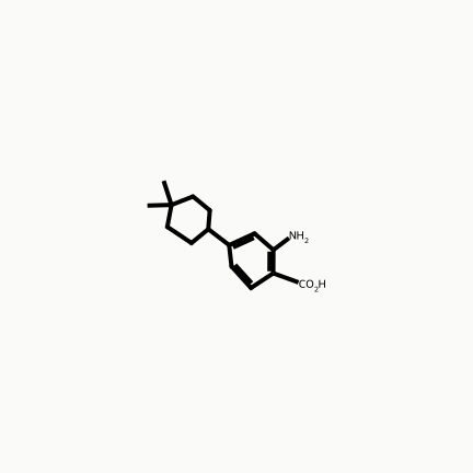 CC1(C)CCC(c2ccc(C(=O)O)c(N)c2)CC1